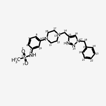 CS(=O)(=O)Nc1cccc(N2CCN(Cc3cn(Cc4ccccc4)nn3)CC2)c1